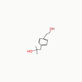 CC(C)(O)Cc1ccc(CCO)cc1